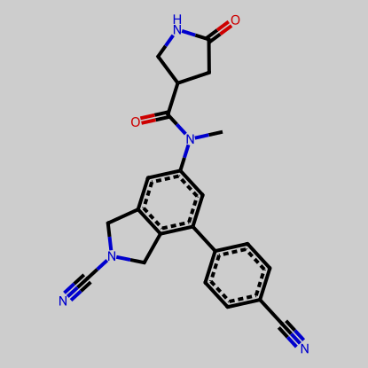 CN(C(=O)C1CNC(=O)C1)c1cc2c(c(-c3ccc(C#N)cc3)c1)CN(C#N)C2